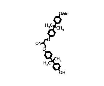 COc1ccc(C(C)(C)c2ccc(OCC(COc3ccc(C(C)(C)c4ccc(O)cc4)cc3)N=O)cc2)cc1